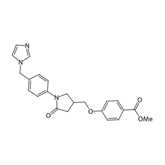 COC(=O)c1ccc(OCC2CC(=O)N(c3ccc(Cn4ccnc4)cc3)C2)cc1